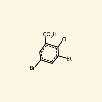 CCc1cc(Br)cc(C(=O)O)c1Cl